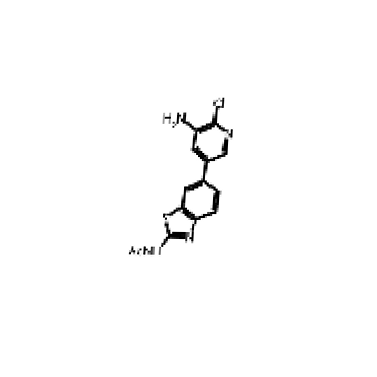 CC(=O)Nc1nc2ccc(-c3cnc(Cl)c(N)c3)cc2s1